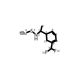 CC(NSC(C)(C)C)C1C=CC=C(C(F)F)C1